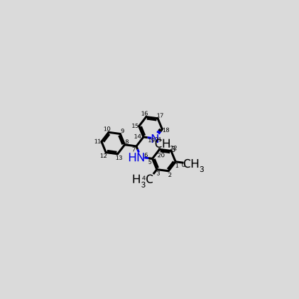 Cc1cc(C)c(NC(c2ccccc2)c2ccccn2)c(C)c1